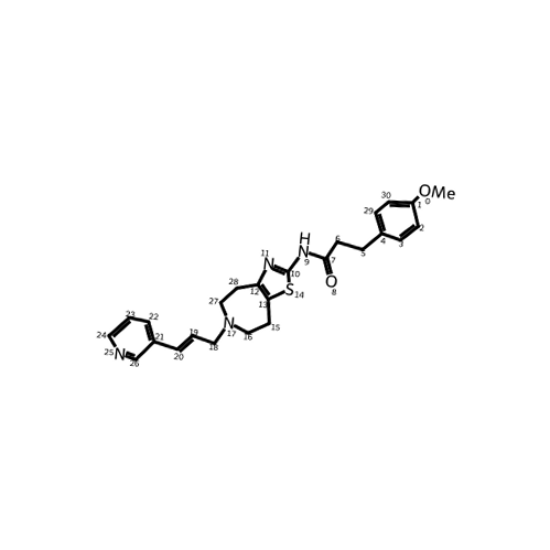 COc1ccc(CCC(=O)Nc2nc3c(s2)CCN(CC=Cc2cccnc2)CC3)cc1